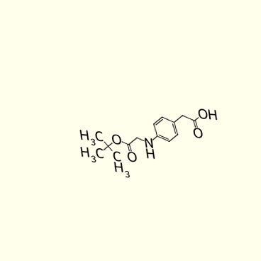 CC(C)(C)OC(=O)CNc1ccc(CC(=O)O)cc1